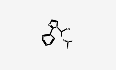 CC(C#N)n1ccnc1-c1ccccc1.FB(F)F